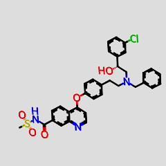 CS(=O)(=O)NC(=O)c1ccc2c(Oc3ccc(CCN(Cc4ccccc4)C[C@H](O)c4cccc(Cl)c4)cc3)ccnc2c1